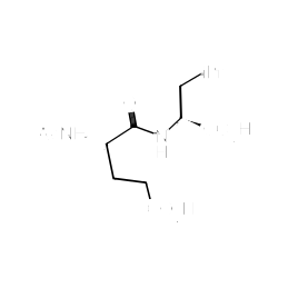 CC(=O)N[C@@H](CCC(=O)O)C(=O)N[C@@H](CC(C)C)C(=O)O